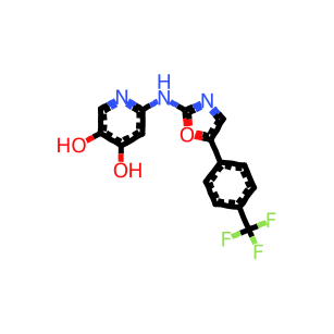 Oc1cnc(Nc2ncc(-c3ccc(C(F)(F)F)cc3)o2)cc1O